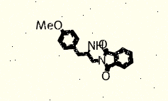 COc1ccc(C[C@@H](N)CN2C(=O)c3ccccc3C2=O)cc1